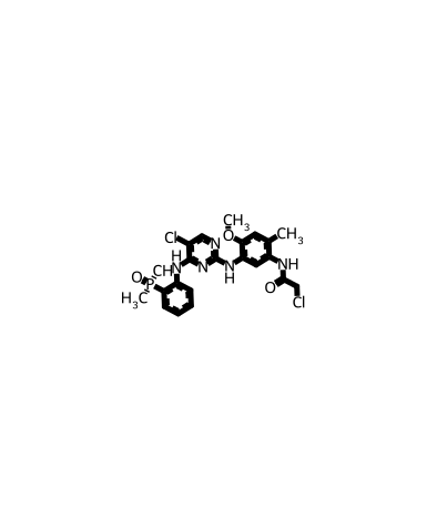 COc1cc(C)c(NC(=O)CCl)cc1Nc1ncc(Cl)c(Nc2ccccc2P(C)(C)=O)n1